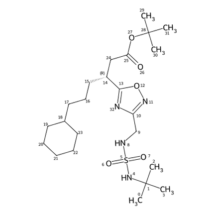 CC(C)(C)NS(=O)(=O)NCc1noc([C@H](CCCC2CCCCC2)CC(=O)OC(C)(C)C)n1